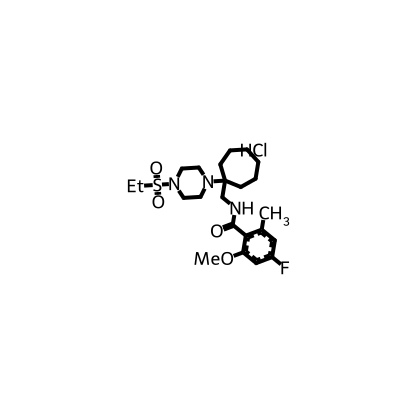 CCS(=O)(=O)N1CCN(C2(CNC(=O)c3c(C)cc(F)cc3OC)CCCCCC2)CC1.Cl